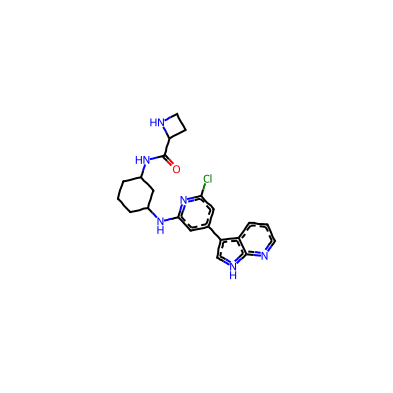 O=C(NC1CCCC(Nc2cc(-c3c[nH]c4ncccc34)cc(Cl)n2)C1)C1CCN1